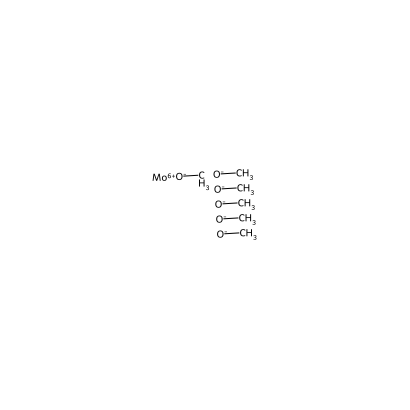 C[O-].C[O-].C[O-].C[O-].C[O-].C[O-].[Mo+6]